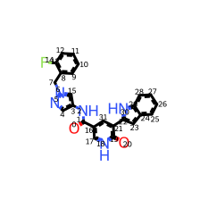 O=C(Nc1cnn(Cc2ccccc2F)c1)c1c[nH]c(=O)c(-c2cc3ccccc3[nH]2)c1